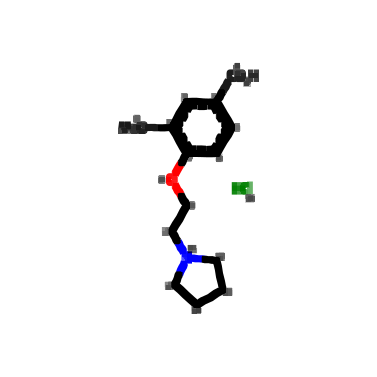 COc1cc(C(=O)O)ccc1OCCN1CCCC1.Cl